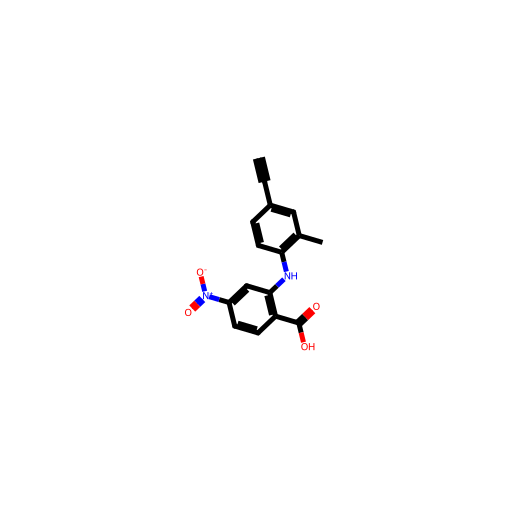 C#Cc1ccc(Nc2cc([N+](=O)[O-])ccc2C(=O)O)c(C)c1